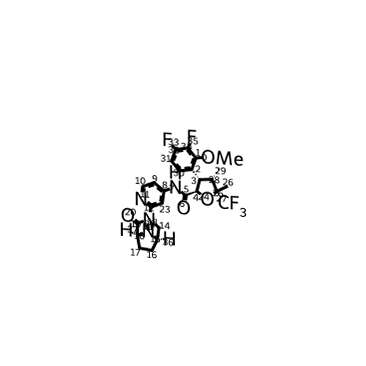 COc1c([C@H]2[C@H](C(=O)Nc3ccnc(N4C[C@H]5CC[C@@H](C4=O)N5C)c3)O[C@@](C)(C(F)(F)F)[C@H]2C)ccc(F)c1F